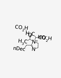 CCCCCCCCCCCC1=NCC[N+]1(C(C)OCC(=O)O)C(C)C(=O)O.[OH-]